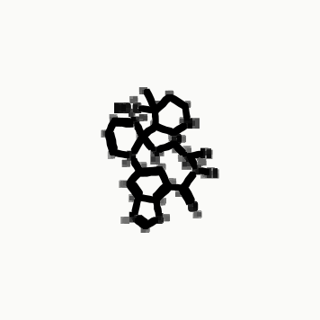 CCNC(=O)NC1(C2CNCCC2(C)C(=O)O)N=CC=CN1c1cc(C(=O)N(C)CC)c2scnc2c1